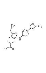 CC(=O)N1CCc2c(c(Nc3ccc(-c4cnn(C)c4)nc3)nn2CC2CC2)C1